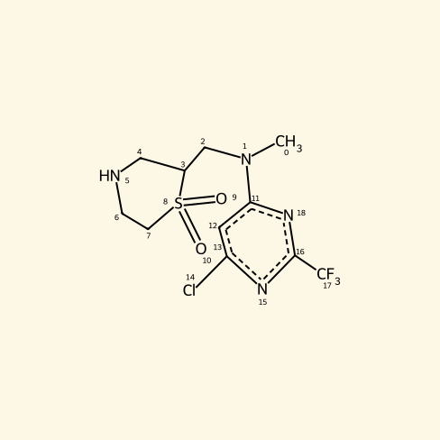 CN(CC1CNCCS1(=O)=O)c1cc(Cl)nc(C(F)(F)F)n1